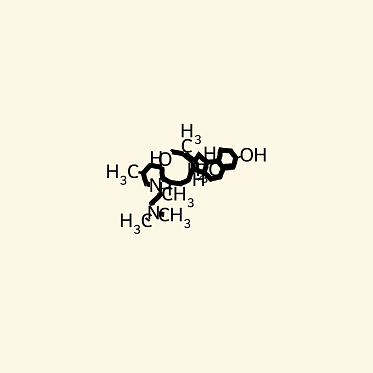 C/C1=C2\C[C@H]3[C@@H](CCC4=C[C@@H](O)CC[C@@]43C)[C@@H]2CC[C@H](C)[C@H]2[C@@H](C[C@H](C)CN2CCN(C)C)OC1